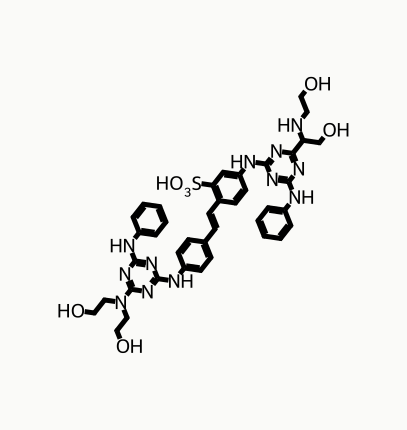 O=S(=O)(O)c1cc(Nc2nc(Nc3ccccc3)nc(C(CO)NCCO)n2)ccc1C=Cc1ccc(Nc2nc(Nc3ccccc3)nc(N(CCO)CCO)n2)cc1